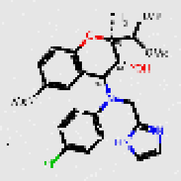 CNc1ccc2c(c1)[C@H](N(Cc1ncc[nH]1)c1ccc(Cl)cc1)[C@@H](O)[C@](C)(C(OC)OC)O2